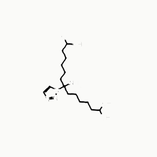 CC(C)CCCCCC(N)(CCCCCC(C)C)n1ccnn1